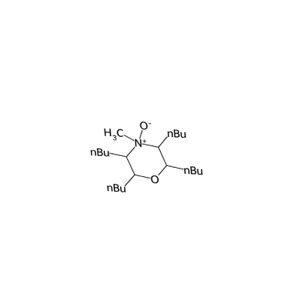 CCCCC1OC(CCCC)C(CCCC)[N+](C)([O-])C1CCCC